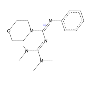 CN(C)C(=N/C(=N\c1ccccc1)N1CCOCC1)N(C)C